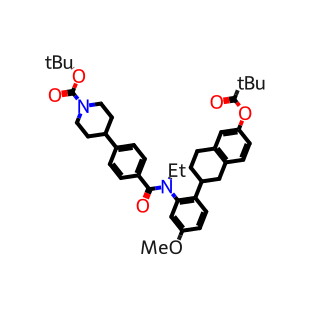 CCN(C(=O)c1ccc(C2CCN(C(=O)OC(C)(C)C)CC2)cc1)c1cc(OC)ccc1C1CCc2cc(OC(=O)C(C)(C)C)ccc2C1